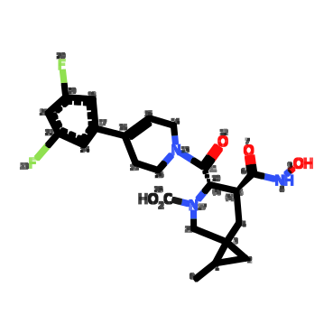 CC1CC12C[C@H](C(=O)NO)[C@@H](C(=O)N1CC=C(c3cc(F)cc(F)c3)CC1)N(C(=O)O)C2